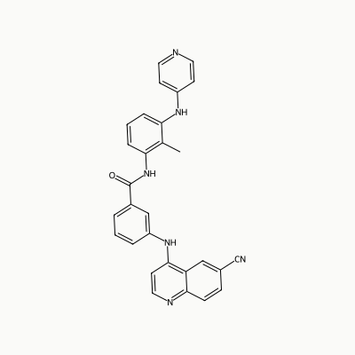 Cc1c(NC(=O)c2cccc(Nc3ccnc4ccc(C#N)cc34)c2)cccc1Nc1ccncc1